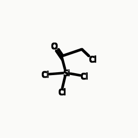 O=C(CCl)[Si](Cl)(Cl)Cl